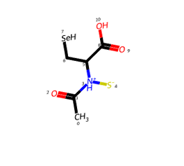 CC(=O)[NH+]([S-])C(C[SeH])C(=O)O